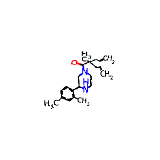 C=CCC(C)(CC=C)C(=O)N1CCNC(c2ccc(C)cc2C)C1